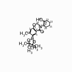 Cc1cc2c(cc1B1OC(C)(C)C(C)(C)O1)C(=O)N([C@H]1CCCC[C@@H]1O)CO2